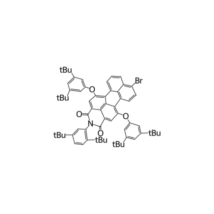 CC(C)(C)c1cc(Oc2cc3c4c(cc(Oc5cc(C(C)(C)C)cc(C(C)(C)C)c5)c5c6ccc(Br)c7cccc(c2c45)c76)C(=O)N(c2cc(C(C)(C)C)ccc2C(C)(C)C)C3=O)cc(C(C)(C)C)c1